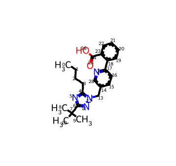 CCCCc1nc(C(C)(C)C)nn1Cc1ccc(-c2ccccc2C(=O)O)nc1